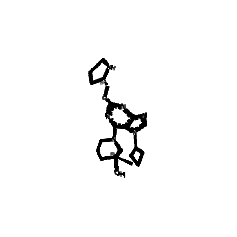 C[C@@]1(O)CCCN(c2nc(OC[C@@H]3CCCN3)nc3ncn(C4CCC4)c23)C1